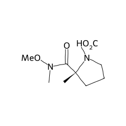 CON(C)C(=O)[C@@]1(C)CCCN1C(=O)O